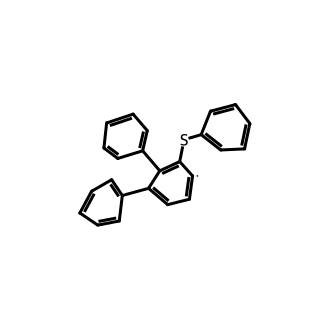 [c]1ccc(-c2ccccc2)c(-c2ccccc2)c1Sc1ccccc1